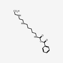 O=C(O)CNCCNCCCCCNC(=O)OC(=O)c1ccccc1